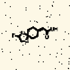 O=C(O)C=C1CCC2(CC1)OCC(F)O2